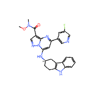 CON(C)C(=O)c1cnn2c(N[C@@H]3CCc4[nH]c5ccccc5c4C3)cc(-c3cncc(F)c3)nc12